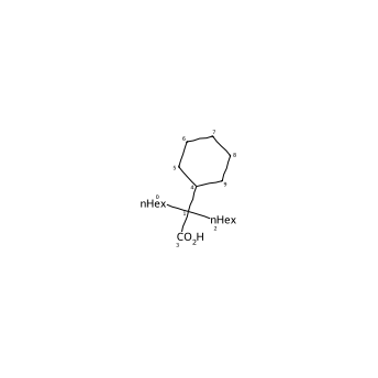 CCCCCCC(CCCCCC)(C(=O)O)C1CCCCC1